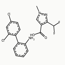 Cn1cc(C(=O)O)c(C(F)F)n1.Nc1ccccc1-c1ccc(Cl)cc1Cl